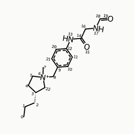 CCC[C@@H]1CC[N+](C)(Cc2ccc(NC(=O)CNC=O)cc2)C1